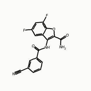 N#Cc1cccc(C(=O)Nc2c(C(N)=O)oc3c(F)cc(F)cc23)c1